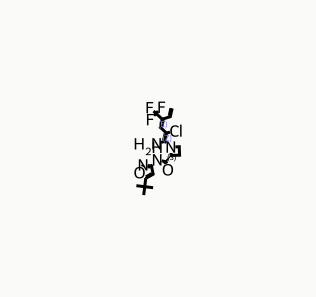 C=C/C(=C\C(Cl)=C(/N)N1CC[C@H]1C(=O)Nc1cc(C(C)(C)C)on1)C(F)(F)F